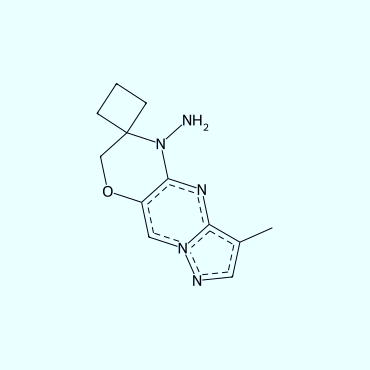 Cc1cnn2cc3c(nc12)N(N)C1(CCC1)CO3